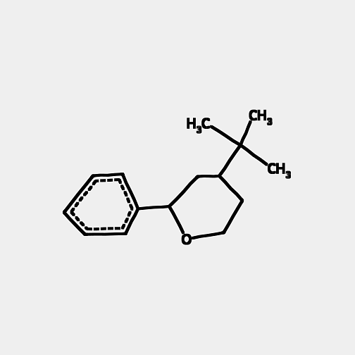 CC(C)(C)C1CCOC(c2ccccc2)C1